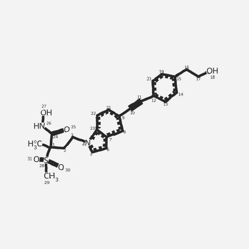 CC(CCn1ccc2cc(C#Cc3ccc(CCO)cc3)ccc21)(C(=O)NO)S(C)(=O)=O